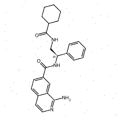 Nc1nccc2ccc(C(=O)N[C@@H](CNC(=O)C3CCCCC3)c3ccccc3)cc12